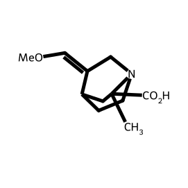 CO/C=C1/CN2CCC1CC2(C)C(=O)O